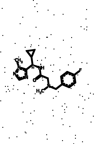 CN(CC(=O)N[C@@H](c1ncnn1C)C1CC1)Cc1ccc(F)cc1